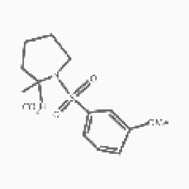 COc1cccc(S(=O)(=O)N2CCCCC2(I)C(=O)O)c1